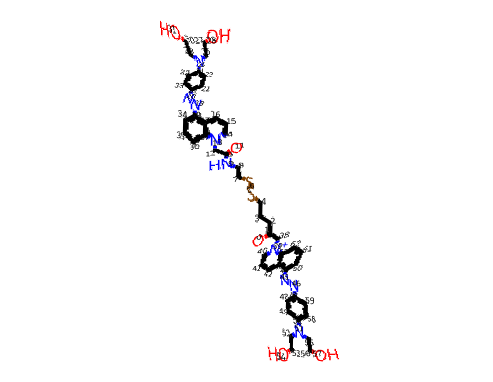 O=C(CCCSSCCNC(=O)C[n+]1cccc2c(/N=N/c3ccc(N(CCO)CCO)cc3)cccc21)C[n+]1cccc2c(/N=N/c3ccc(N(CCO)CCO)cc3)cccc21